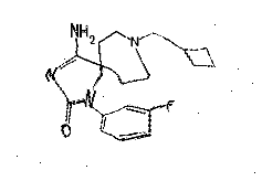 NC1=NC(=O)N(c2cccc(F)c2)C12CCN(CC1CCC1)CC2